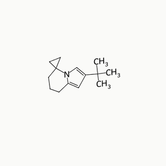 CC(C)(C)c1cc2n(c1)C1(CCC2)CC1